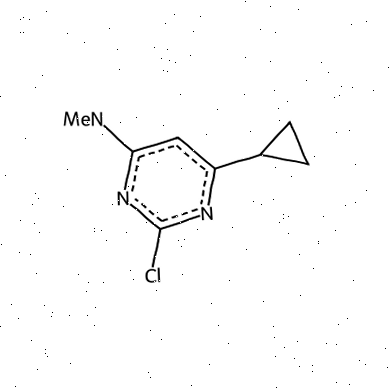 CNc1cc(C2CC2)nc(Cl)n1